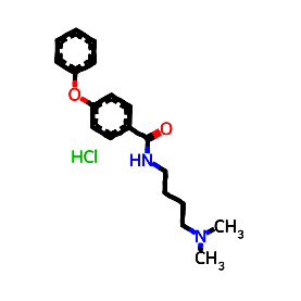 CN(C)CCCCNC(=O)c1ccc(Oc2ccccc2)cc1.Cl